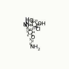 NCCCOc1ccc(-c2cn[nH]c2-c2cc(Cl)c(O)cc2O)cc1